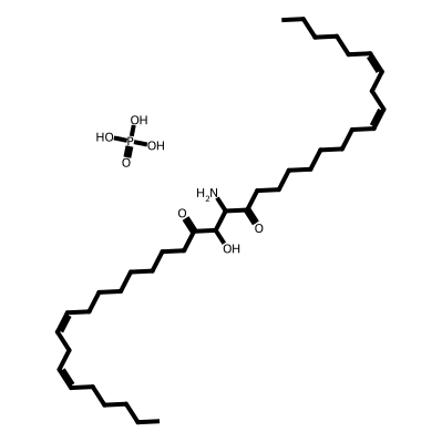 CCCCC/C=C\C/C=C\CCCCCCCC(=O)C(N)C(O)C(=O)CCCCCCC/C=C\C/C=C\CCCCC.O=P(O)(O)O